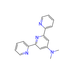 CN(C)c1cc(-c2ccccn2)nc(-c2ccccn2)c1